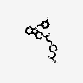 O=C(O)CN1CCN(CCC(=O)N2CCc3c(n(Cc4cccc(F)c4)c4ncccc34)C2)CC1